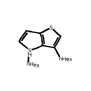 CCCCCCc1csc2c1[SH](CCCCCC)C=C2